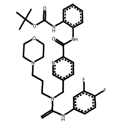 C=C(Nc1ccc(F)c(F)c1)N(CCCN1CCOCC1)Cc1ccc(C(=O)Nc2ccccc2NC(=O)OC(C)(C)C)nc1